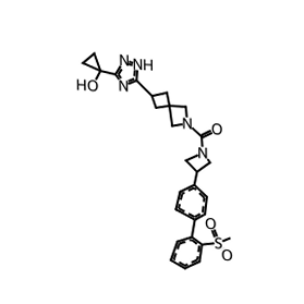 CS(=O)(=O)c1ccccc1-c1ccc(C2CN(C(=O)N3CC4(CC(c5nc(C6(O)CC6)n[nH]5)C4)C3)C2)cc1